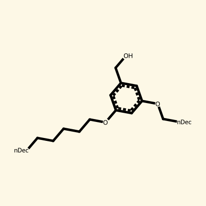 CCCCCCCCCCCCCCCOc1cc(CO)cc(OCCCCCCCCCCC)c1